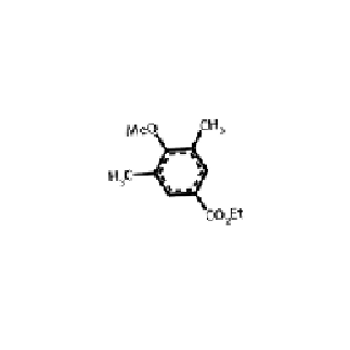 CCOC(=O)c1cc(C)c(OC)c(C)c1